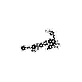 Cc1c(C(=O)NCCCN2CCN(C)CC2)c(-c2cccc(N3CCN(c4ccc(N[S+]([O-])c5ccc(NCCSc6ccccc6)c([N+](=O)[O-])c5)cc4)CC3)c2)c(-c2ccc(Cl)cc2)n1C